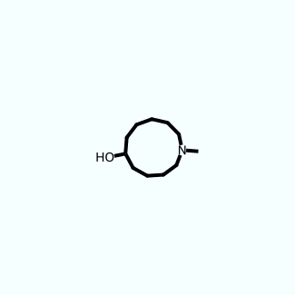 CN1CCCCCC(O)CCCC1